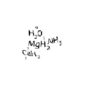 O.[AlH3].[CaH2].[MgH2]